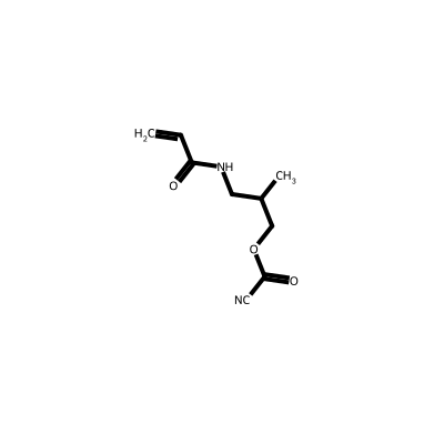 C=CC(=O)NCC(C)COC(=O)C#N